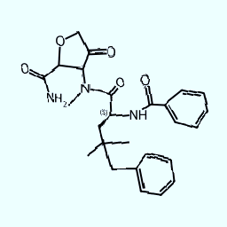 CN(C(=O)[C@H](CC(C)(C)Cc1ccccc1)NC(=O)c1ccccc1)C1C(=O)COC1C(N)=O